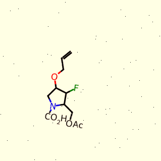 C=CCOC1CN(C(=O)O)C(COC(C)=O)C1F